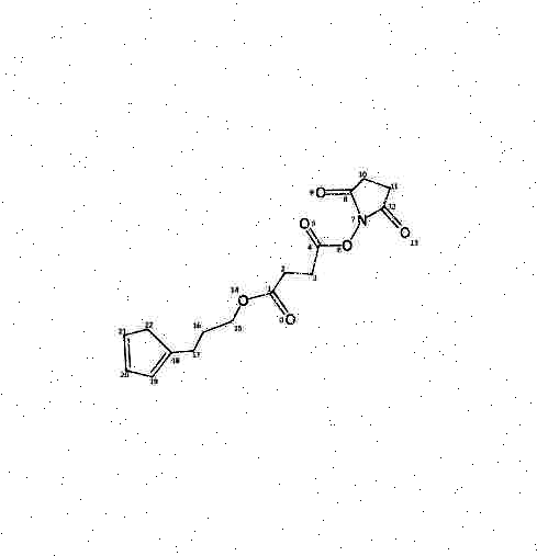 O=C(CCC(=O)ON1C(=O)CCC1=O)OCCCC1=CC=CC1